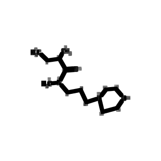 CCC(C)C(=O)N(C)CCCN1CCOCC1